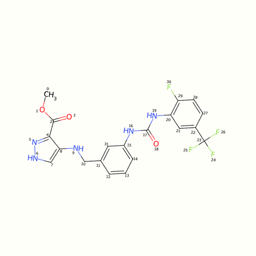 COC(=O)c1n[nH]cc1NCc1cccc(NC(=O)Nc2cc(C(F)(F)F)ccc2F)c1